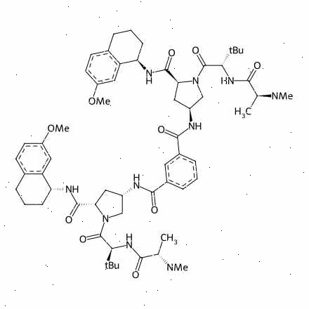 CN[C@@H](C)C(=O)N[C@H](C(=O)N1C[C@@H](NC(=O)c2cccc(C(=O)N[C@H]3C[C@@H](C(=O)N[C@@H]4CCCc5ccc(OC)cc54)N(C(=O)[C@@H](NC(=O)[C@H](C)NC)C(C)(C)C)C3)c2)C[C@H]1C(=O)N[C@@H]1CCCc2ccc(OC)cc21)C(C)(C)C